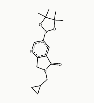 CC1(C)OB(c2cnc3c(c2)C(=O)N(CC2CC2)C3)OC1(C)C